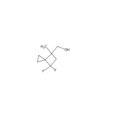 CC1(CO)CC(F)(F)C12CC2